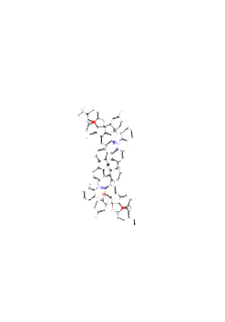 C=Cc1ccc(CC2(c3cc(C)ccc3C)c3ccccc3-c3ccc(N(c4ccccc4)c4ccc5c(c4)C4(c6ccccc6-5)c5cc(N(c6ccccc6)c6ccc7c(c6)C(Cc6ccc(C=C)cc6)(c6cc(C)ccc6C)c6ccccc6-7)ccc5C5C=CC=CC54)cc32)cc1